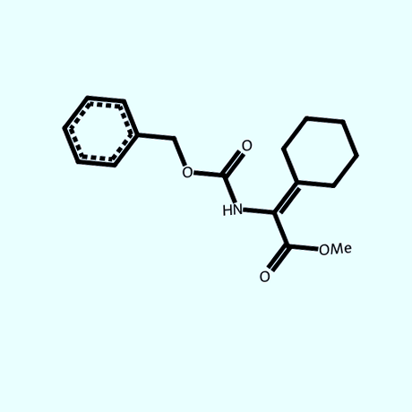 COC(=O)C(NC(=O)OCc1ccccc1)=C1CCCCC1